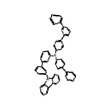 c1ccc(-c2ccc(N(c3ccc(-c4cccc(-c5ccccc5)c4)cc3)c3cccc(-c4cccc(-n5c6ccccc6c6ccccc65)c4)c3)cc2)cc1